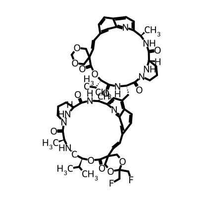 CC(C)[C@@H]1OC(=O)C2(/C=C/c3ccc4ccc(nc4c3)[C@@H](C)NC(=O)[C@@H]3CCCN(N3)C(=O)[C@H](Cc3cc4nc5cc(ccc35)/C=C/C3(COC(CF)(CF)OC3)C(=O)O[C@@H](C(C)C)CN[C@@H](C)C(=O)N3CCC[C@H](N3)C(=O)N[C@@H]4C)NC1=O)COCOC2